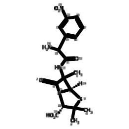 CC1(C)S[C@H]2N(C(=O)C2(C)NC(=O)C(N)c2cccc([N+](=O)[O-])c2)[C@H]1C(=O)O